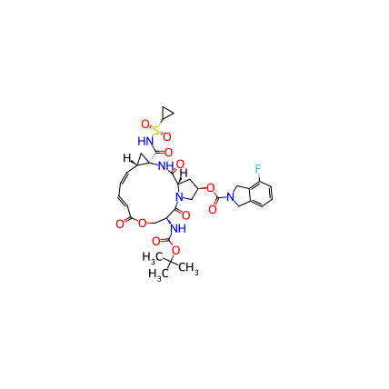 CC(C)(C)OC(=O)N[C@H]1COC(=O)/C=C/C=C\[C@@H]2C[C@@]2(C(=O)NS(=O)(=O)C2CC2)NC(=O)[C@@H]2C[C@@H](OC(=O)N3Cc4cccc(F)c4C3)CN2C1=O